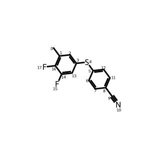 Cc1cc(Sc2ccc(C#N)cc2)cc(F)c1F